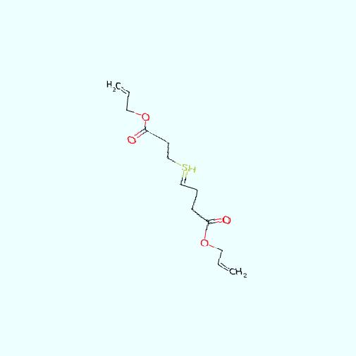 C=CCOC(=O)CCC=[SH]CCC(=O)OCC=C